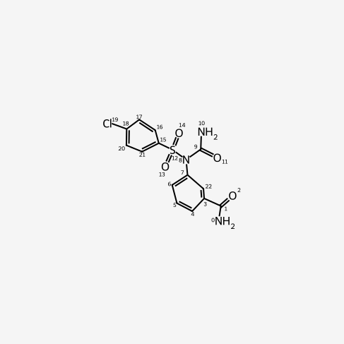 NC(=O)c1cccc(N(C(N)=O)S(=O)(=O)c2ccc(Cl)cc2)c1